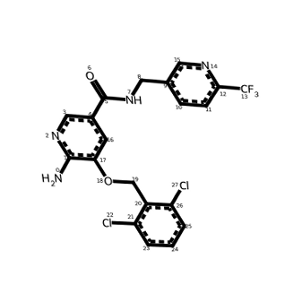 Nc1ncc(C(=O)NCc2ccc(C(F)(F)F)nc2)cc1OCc1c(Cl)cccc1Cl